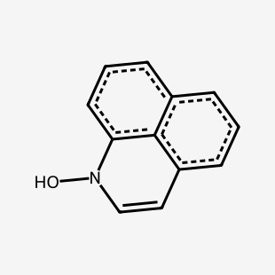 ON1C=Cc2cccc3cccc1c23